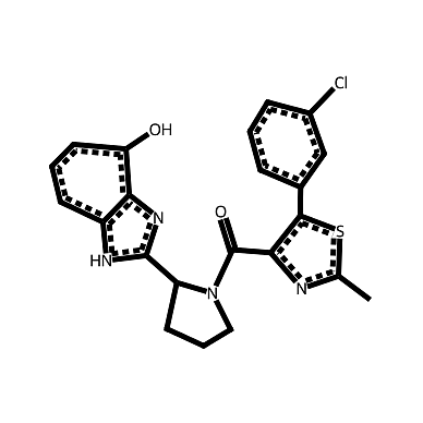 Cc1nc(C(=O)N2CCCC2c2nc3c(O)cccc3[nH]2)c(-c2cccc(Cl)c2)s1